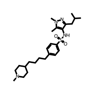 Cc1c(NS(=O)(=O)c2ccc(CCCCC3CCN(C)CC3)cc2)c(CC(C)C)nn1C